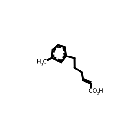 Cc1cccc(CCCC=CC(=O)O)c1